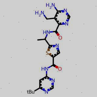 CC(NC(=O)c1ncnc(N)c1CN)c1ncc(C(=O)Nc2cc(C(C)(C)C)ncn2)s1